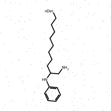 CCCCCCCCCCCCCCCCCCC(CN)Nc1ccccc1